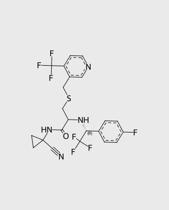 N#CC1(NC(=O)C(CSCc2cnccc2C(F)(F)F)N[C@H](c2ccc(F)cc2)C(F)(F)F)CC1